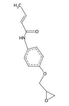 CC=CC(=O)Nc1ccc(OCC2CO2)cc1